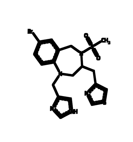 CS(=O)(=O)N1Cc2cc(Br)ccc2N(Cc2c[nH]cn2)CC1Cc1cscn1